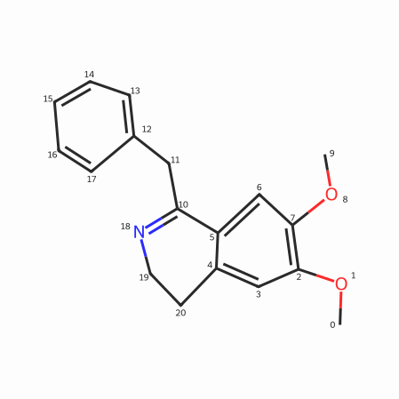 COc1cc2c(cc1OC)C(Cc1ccccc1)=NCC2